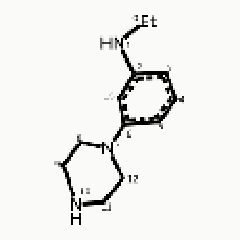 CCNc1cccc(N2CCNCC2)c1